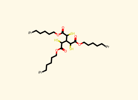 CC(C)CCCCCOC(=O)C(S)[C](C(S)C(=O)OCCCCCC(C)C)C(S)C(=O)OCCCCCC(C)C